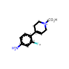 Nc1ccc(C2=CCN(C(=O)O)CC2)c(F)c1